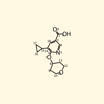 O=C(O)c1cnc(OC2CCOCC2)c(C2CC2)c1